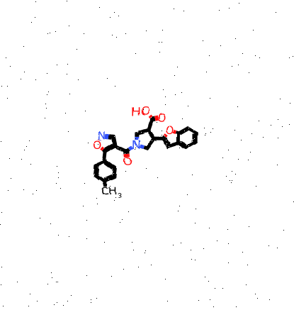 Cc1ccc(-c2oncc2C(=O)N2CC(C(=O)O)C(c3cc4ccccc4o3)C2)cc1